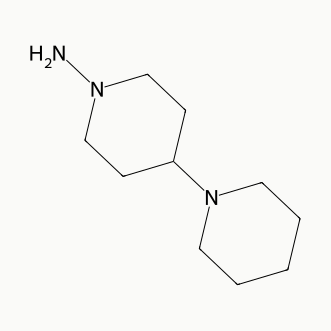 NN1CCC(N2CCCCC2)CC1